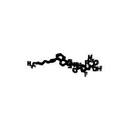 CCCCCC#Cc1cccc2c1CCc1sc(NC(=O)c3cc(F)c(/C=C(\C)C(=O)O)c(F)c3)nc1-2